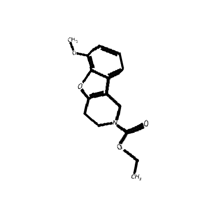 CCOC(=O)N1CCc2oc3c(OC)cccc3c2C1